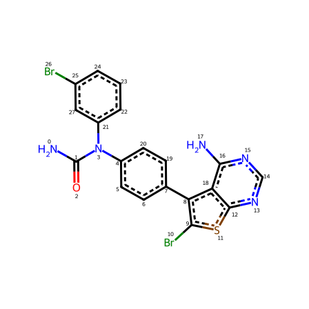 NC(=O)N(c1ccc(-c2c(Br)sc3ncnc(N)c23)cc1)c1cccc(Br)c1